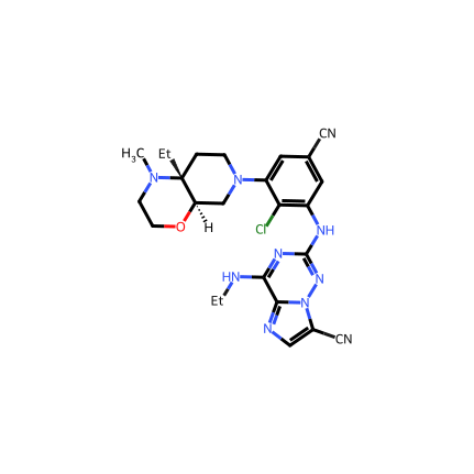 CCNc1nc(Nc2cc(C#N)cc(N3CC[C@]4(CC)[C@@H](C3)OCCN4C)c2Cl)nn2c(C#N)cnc12